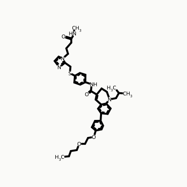 CCCCOCCOc1ccc(-c2ccc3c(c2)C=C(C(=O)Nc2ccc(SCc4nccn4CCCC(=O)NC)cc2)CCN3CC(C)C)cc1